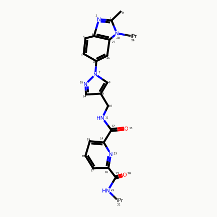 Cc1nc2ccc(-n3cc(CNC(=O)c4cccc(C(=O)NC(C)C)n4)cn3)cc2n1C(C)C